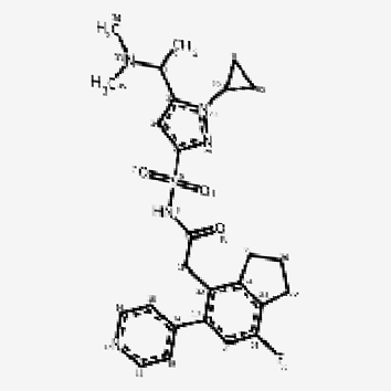 CC(c1cc(S(=O)(=O)NC(=O)Cc2c(-c3ccncc3)cc(F)c3c2CCC3)nn1C1CC1)N(C)C